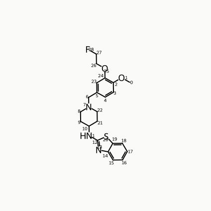 COc1ccc(CN2CCC(Nc3nc4ccccc4s3)CC2)cc1OCCF